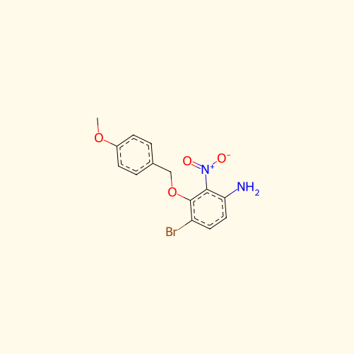 COc1ccc(COc2c(Br)ccc(N)c2[N+](=O)[O-])cc1